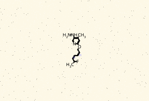 Cc1cc(OC/C=C\C=C/C(C)F)ncc1NN